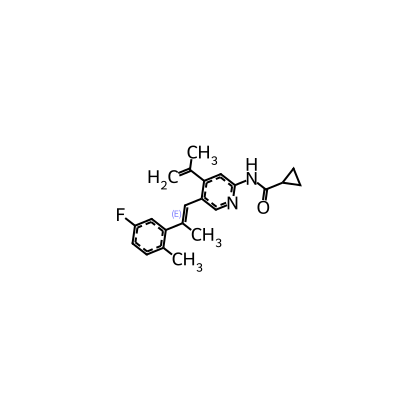 C=C(C)c1cc(NC(=O)C2CC2)ncc1/C=C(\C)c1cc(F)ccc1C